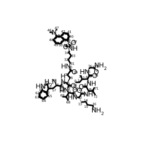 CCC(C)[C@H](NC(=O)[C@@H](NC(=O)[C@H](CCCCN)NC(=O)[C@@H](NC(=O)[C@H](CCC(=O)NCCCCNS(=O)(=O)c1cccc2c(N(C)C)cccc12)NC(=O)[C@@H](N)CC1CNc2ccccc21)C(C)C)C(C)C)C(=O)NCC(N)=O